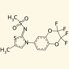 Cc1cn(-c2ccc3c(c2)OC(F)(F)C(F)(F)O3)c(=NS(C)(=O)=O)s1